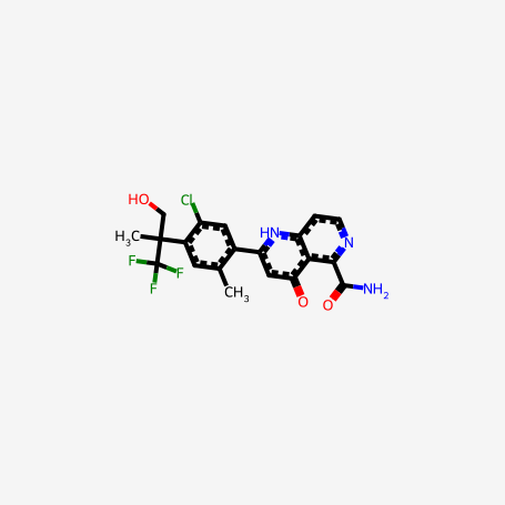 Cc1cc(C(C)(CO)C(F)(F)F)c(Cl)cc1-c1cc(=O)c2c(C(N)=O)nccc2[nH]1